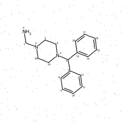 NCN1CCN(C(c2ccccc2)c2ccccc2)CC1